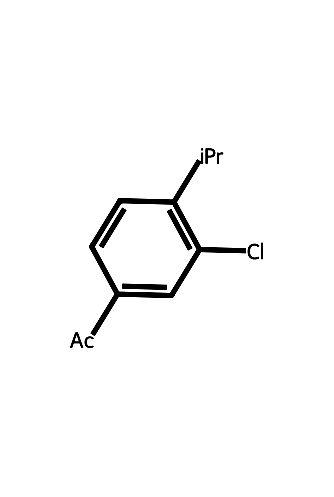 CC(=O)c1ccc(C(C)C)c(Cl)c1